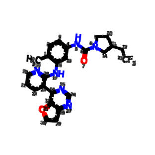 Cc1ccc(NC(=O)N2CCC(CC(F)(F)F)C2)cc1Nc1ncccc1-c1ncnc2ccoc12